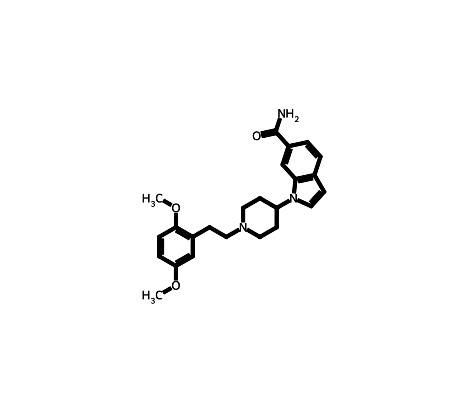 COc1ccc(OC)c(CCN2CCC(n3ccc4ccc(C(N)=O)cc43)CC2)c1